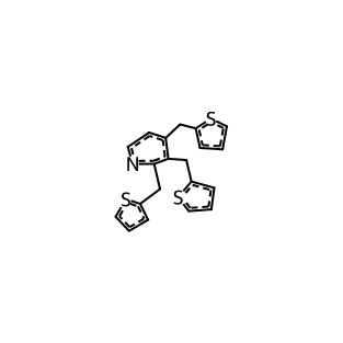 c1csc(Cc2ccnc(Cc3cccs3)c2Cc2cccs2)c1